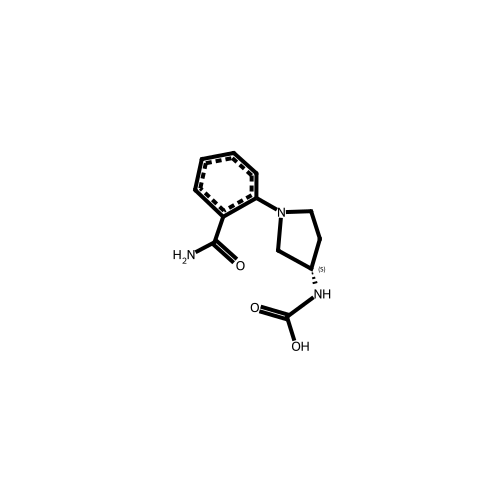 NC(=O)c1ccccc1N1CC[C@H](NC(=O)O)C1